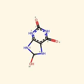 O=c1[nH]c2c(c(=O)[nH]1)NC(O)N2